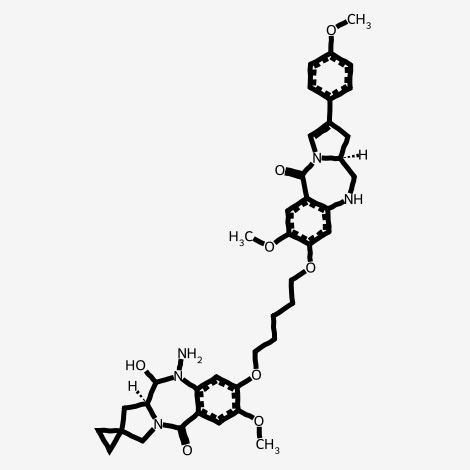 COc1ccc(C2=CN3C(=O)c4cc(OC)c(OCCCCCOc5cc6c(cc5OC)C(=O)N5CC7(CC7)C[C@H]5C(O)N6N)cc4NC[C@@H]3C2)cc1